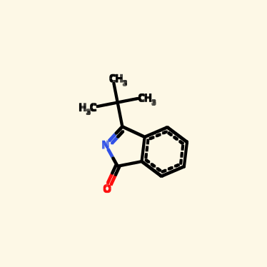 CC(C)(C)C1=NC(=O)c2ccccc21